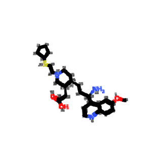 COc1ccc2nccc([C@H](N)CC[C@@H]3CCN(CCSC4CCCC4)C[C@@H]3CC(=O)O)c2c1